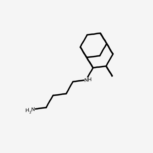 CC1CC2CCCC(C2)C1NCCCCN